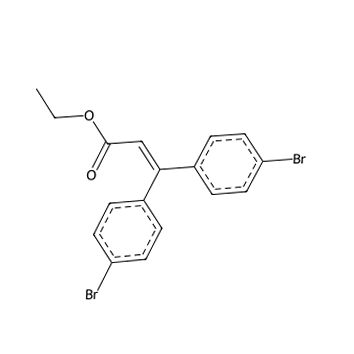 CCOC(=O)C=C(c1ccc(Br)cc1)c1ccc(Br)cc1